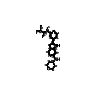 CN(c1nccc(-c2cc3cnc(NC4CCOCC4)cc3[nH]2)n1)C(F)C(F)F